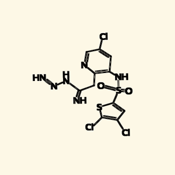 N=NNC(=N)Cc1ncc(Cl)cc1NS(=O)(=O)c1cc(Cl)c(Cl)s1